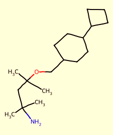 CC(C)(N)CC(C)(C)OCC1CCC(C2CCC2)CC1